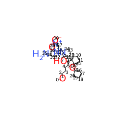 COCCCC[C@@](O)(c1ccccc1Oc1ccccc1)C1CCCN(C(=C[N+](=O)[O-])N2CC[C@@H](N)C2)C1